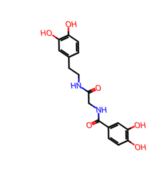 O=C(CNC(=O)c1ccc(O)c(O)c1)NCCc1ccc(O)c(O)c1